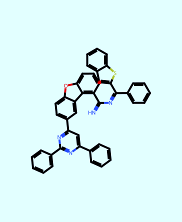 N=C(/N=C(/c1ccccc1)c1cc2ccccc2s1)c1cccc2oc3ccc(-c4cc(-c5ccccc5)nc(-c5ccccc5)n4)cc3c12